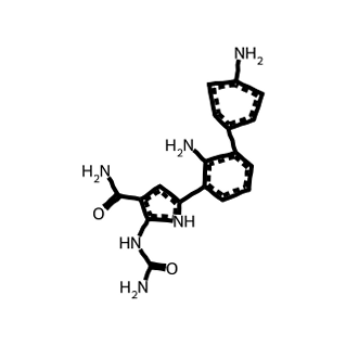 NC(=O)Nc1[nH]c(-c2cccc(-c3ccc(N)cc3)c2N)cc1C(N)=O